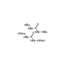 CCCCCCNC(=S)NCCCCCC.CCCCNC(=S)NCCCC